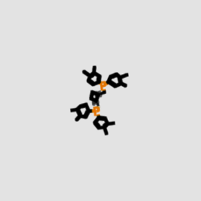 Cc1ccc(P(C[C@@H]2CC[C@H]2CP(c2ccc(C)c(C)c2)c2ccc(C)c(C)c2)c2ccc(C)c(C)c2)cc1C